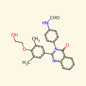 Cc1cc(-c2nc3ccccc3c(=O)n2-c2ccc(NC=O)cc2)cc(C)c1OCCO